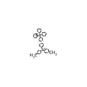 Cc1ccc([S+](c2ccccc2)c2ccc(C)cc2)cc1.c1cc[c]([Ga-]([c]2ccccc2)([c]2ccccc2)[c]2ccccc2)cc1